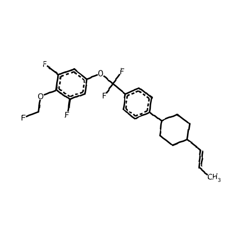 C/C=C/C1CCC(c2ccc(C(F)(F)Oc3cc(F)c(OCF)c(F)c3)cc2)CC1